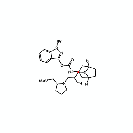 COC[C@@H]1CCCN1CC(O)CN1[C@@H]2CC[C@H]1C[C@H](NC(=O)Oc1nn(C(C)C)c3ccccc13)C2